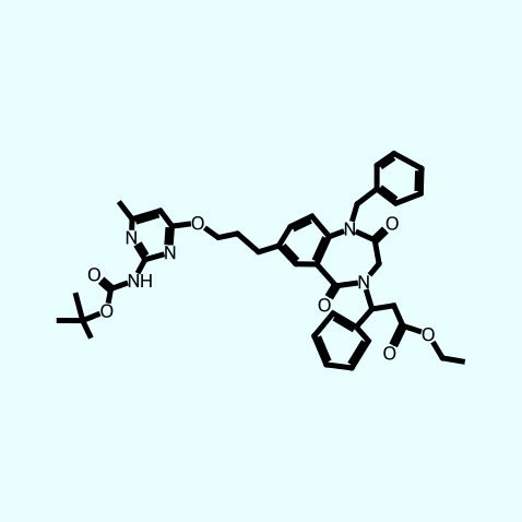 CCOC(=O)CC(c1ccccc1)N1CC(=O)N(Cc2ccccc2)c2ccc(CCCOc3cc(C)nc(NC(=O)OC(C)(C)C)n3)cc2C1=O